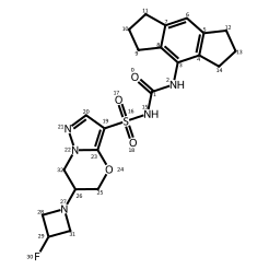 O=C(Nc1c2c(cc3c1CCC3)CCC2)NS(=O)(=O)c1cnn2c1OCC(N1CC(F)C1)C2